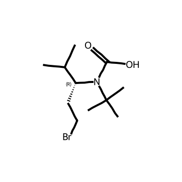 CC(C)[C@@H](CCBr)N(C(=O)O)C(C)(C)C